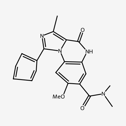 COc1cc2c(cc1C(=O)N(C)C)[nH]c(=O)c1c(C)nc(-c3ccccc3)n12